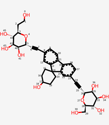 OCC[C@H]1O[C@H](C#Cc2ccc3c(c2)C2(CCC(O)CC2)c2cc(C#C[C@H]4O[C@H](CO)[C@@H](O)[C@H](O)[C@@H]4O)ccc2-3)[C@@H](O)[C@@H](O)[C@@H]1O